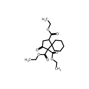 CCOC(=O)C1CC(=O)C(C(=O)OCC)(C(=O)OCC)C12CCCCC2